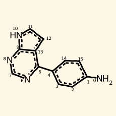 Nc1ccc(-c2ncnc3[nH]ccc23)cc1